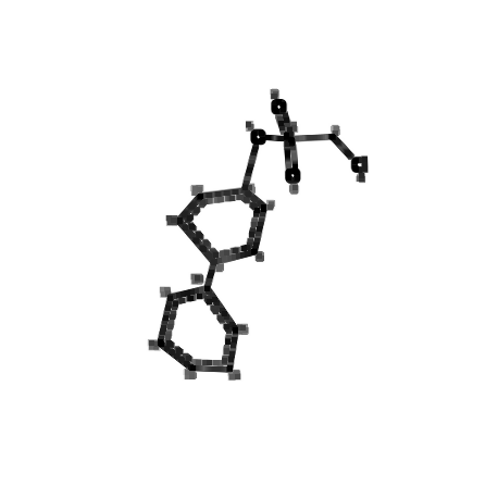 O=S(=O)(CCl)Oc1ccc(-c2ccccc2)cc1